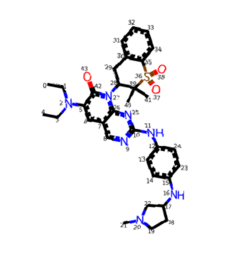 CCN(CC)c1cc2cnc(Nc3ccc(NC4CCN(C)C4)cc3)nc2n(C2Cc3ccccc3S(=O)(=O)C2(C)C)c1=O